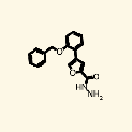 NNC(=O)c1cc(-c2ccccc2OCc2ccccc2)co1